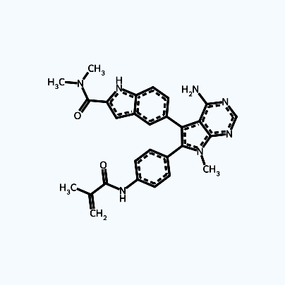 C=C(C)C(=O)Nc1ccc(-c2c(-c3ccc4[nH]c(C(=O)N(C)C)cc4c3)c3c(N)ncnc3n2C)cc1